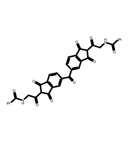 CC(C)C(=O)NCC(=O)C1C(=O)c2ccc(C(=O)c3ccc4c(c3)C(=O)C(C(=O)CNC(=O)C(C)C)C4=O)cc2C1=O